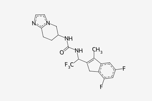 CC1=C(C(NC(=O)NC2CCc3nccn3C2)C(F)(F)F)Cc2c(F)cc(F)cc21